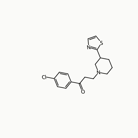 O=C(CCN1CCCC(c2nccs2)C1)c1ccc(Cl)cc1